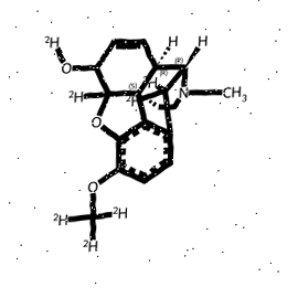 [2H]OC1C=C[C@H]2[C@@H]3N(C)CC[C@@]24c2c(ccc(OC([2H])([2H])[2H])c2OC14[2H])C3([2H])[2H]